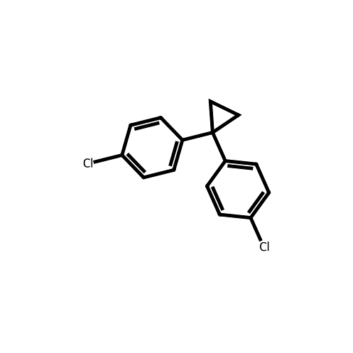 Clc1ccc(C2(c3ccc(Cl)cc3)CC2)cc1